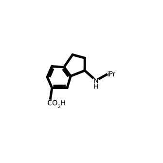 CC(C)NC1CCc2ccc(C(=O)O)cc21